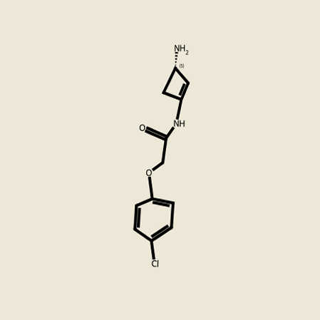 N[C@@H]1C=C(NC(=O)COc2ccc(Cl)cc2)C1